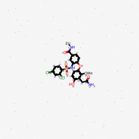 CCNC(=O)c1ccc(Oc2ccc(O)c(CC(N)=O)c2OC)c(NS(=O)(=O)c2ccc(Cl)cc2Cl)c1